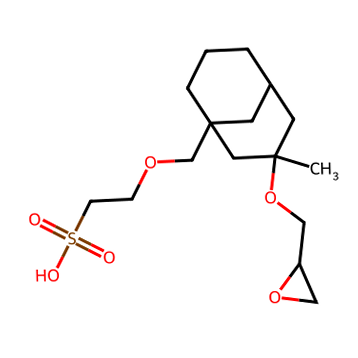 CC1(OCC2CO2)CC2CCCC(COCCS(=O)(=O)O)(C2)C1